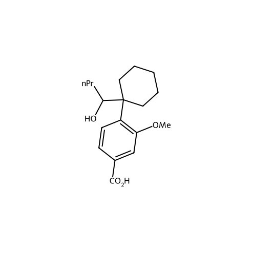 CCCC(O)C1(c2ccc(C(=O)O)cc2OC)CCCCC1